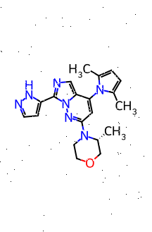 Cc1ccc(C)n1-c1cc(N2CCOC[C@H]2C)nn2c(-c3ccn[nH]3)ncc12